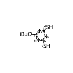 CC(C)COc1nc(S)nc(S)n1